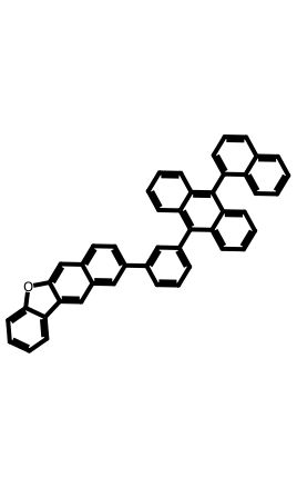 c1cc(-c2ccc3cc4oc5ccccc5c4cc3c2)cc(-c2c3ccccc3c(-c3cccc4ccccc34)c3ccccc23)c1